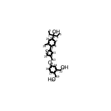 CCC(O)(CC)c1ccc(-c2cc(COc3ccc(CO)c(CO)c3)cs2)c(C)c1